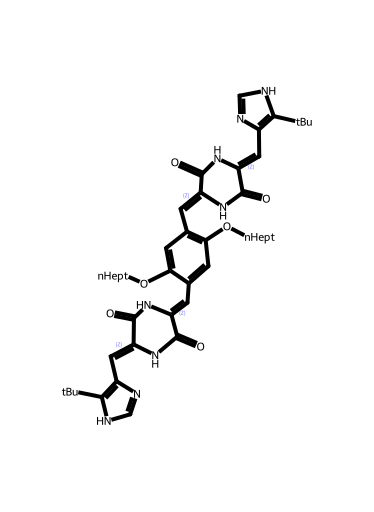 CCCCCCCOc1cc(/C=c2\[nH]c(=O)/c(=C/c3nc[nH]c3C(C)(C)C)[nH]c2=O)c(OCCCCCCC)cc1/C=c1\[nH]c(=O)/c(=C/c2nc[nH]c2C(C)(C)C)[nH]c1=O